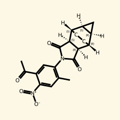 CC(=O)c1cc(N2C(=O)[C@@H]3[C@@H]4CC[C@@H]([C@H]5C[C@H]54)[C@@H]3C2=O)c(C)cc1[N+](=O)[O-]